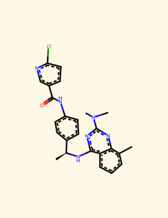 Cc1cccc2c(N[C@@H](C)c3ccc(NC(=O)c4ccc(Cl)nc4)cc3)nc(N(C)C)nc12